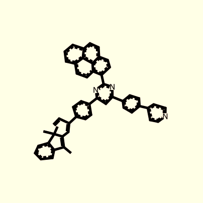 C=C/C(=C\C1=C(C)c2ccccc2C1(C)C)c1ccc(-c2cc(-c3ccc(-c4ccncc4)cc3)nc(-c3ccc4ccc5cccc6ccc3c4c56)n2)cc1